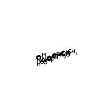 CC(C)(F)CN1CCC(COc2ccc(-c3ccc(C(=O)NC(=O)[C@H]4CCCCN4)cc3F)cn2)CC1